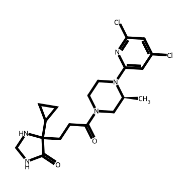 C[C@H]1CN(C(=O)CCC2(C3CC3)NCNC2=O)CCN1c1cc(Cl)cc(Cl)n1